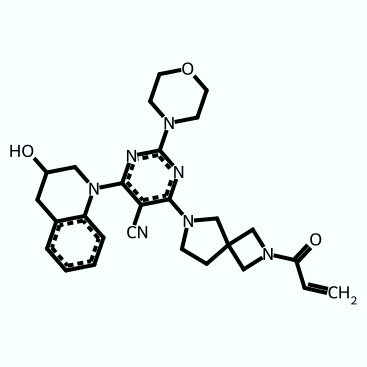 C=CC(=O)N1CC2(CCN(c3nc(N4CCOCC4)nc(N4CC(O)Cc5ccccc54)c3C#N)C2)C1